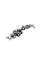 C=CC(=O)Nc1cccnc1-c1c(C)ccc2cnc(Nc3ccc(N4CCN(C)CC4)nc3)nc12